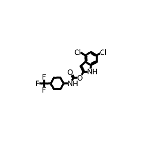 O=C(NC1CCC(C(F)(F)F)CC1)Oc1cc2c(Cl)cc(Cl)cc2[nH]1